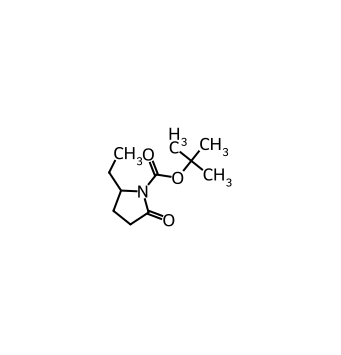 CCC1CCC(=O)N1C(=O)OC(C)(C)C